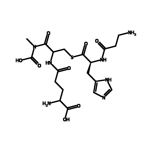 CN(C(=O)O)C(=O)C(CSC(=O)[C@H](Cc1cnc[nH]1)NC(=O)CCN)NC(=O)CCC(N)C(=O)O